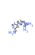 NCc1cncc(-c2csc(N=C(N)N)n2)c1